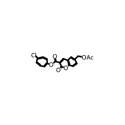 CC(=O)OCc1ccc2oc(=O)c(C(=O)OC3=CC=CC(Cl)=C=C3)cc2c1